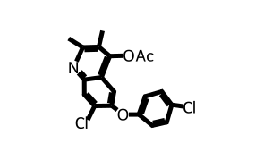 CC(=O)Oc1c(C)c(C)nc2cc(Cl)c(Oc3ccc(Cl)cc3)cc12